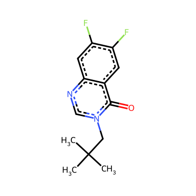 CC(C)(C)Cn1cnc2cc(F)c(F)cc2c1=O